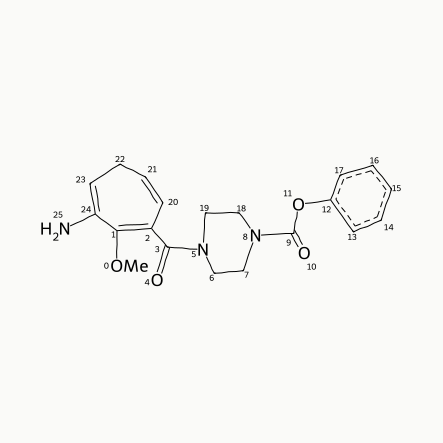 COC1=C(C(=O)N2CCN(C(=O)Oc3ccccc3)CC2)C=CCC=C1N